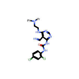 CC(C)N(CCNc1ncnc(NC(=O)Nc2ccc(Cl)cc2Cl)c1C=N)C(C)C